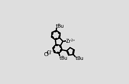 CC(C)(C)C1=CCC(c2c(C(C)(C)C)ccc3c2[CH]([Zr+2])c2cc(C(C)(C)C)ccc2-3)=C1.[Cl-].[Cl-]